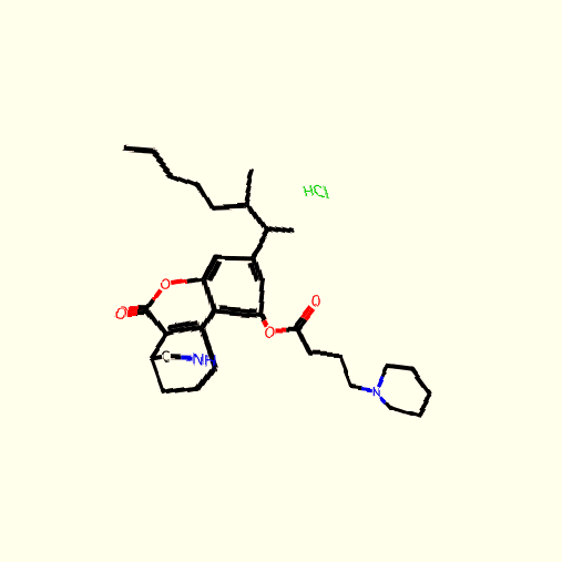 CCCCCC(C)C(C)c1cc(OC(=O)CCCN2CCCCC2)c2c3c(c(=O)oc2c1)C1CCC3NC1.Cl